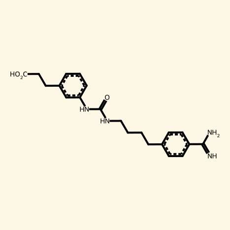 N=C(N)c1ccc(CCCCNC(=O)Nc2cccc(CCC(=O)O)c2)cc1